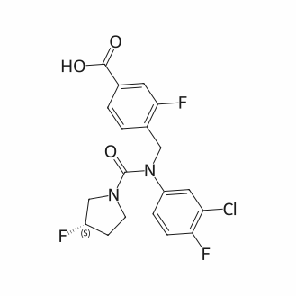 O=C(O)c1ccc(CN(C(=O)N2CC[C@H](F)C2)c2ccc(F)c(Cl)c2)c(F)c1